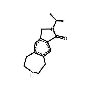 CC(C)N1Cc2cc3c(cc2C1=O)CCNCC3